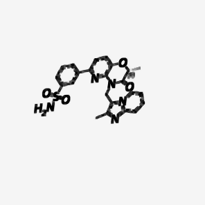 Cc1nc2ccccn2c1CN1C(=O)[C@@H](C)Oc2ccc(-c3cccc(S(N)(=O)=O)c3)nc21